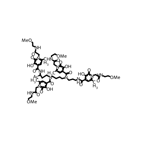 COCCNC(=O)Cn1c(C)cc(C(=O)NCCCN(CCCCN(CCC(NC(=O)c2cc(C)n(CC(=O)NCCOC)c(=O)c2O)C(C)=O)C(=O)c2cc(C)n(CC(=O)NCCOC)c(=O)c2O)C(=O)c2cc(C)n(CC(=O)NCCOC)c(=O)c2O)c(O)c1=O